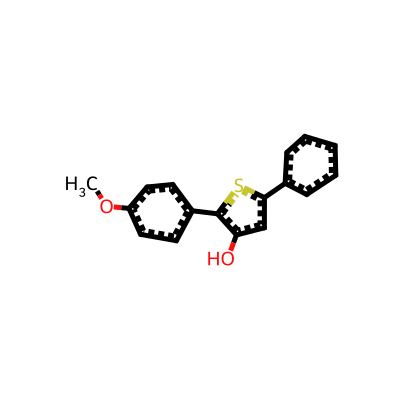 COc1ccc(-c2sc(-c3ccccc3)cc2O)cc1